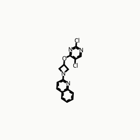 Clc1ncc(Cl)c(OC2CN(c3ccc4ccccc4n3)C2)n1